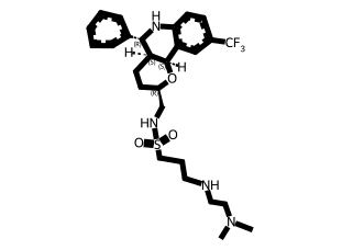 CN(C)CCNCCCS(=O)(=O)NC[C@H]1CC[C@@H]2[C@H](O1)c1cc(C(F)(F)F)ccc1N[C@H]2c1ccccc1